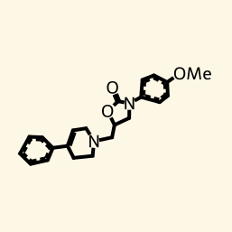 COc1ccc(N2CC(CN3CC=C(c4ccccc4)CC3)OC2=O)cc1